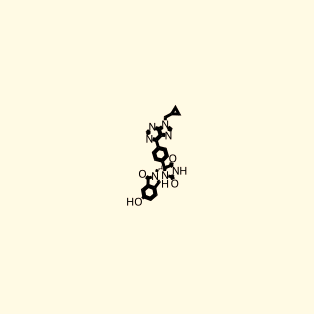 O=C1NC(=O)[C@](CN2Cc3ccc(O)cc3C2=O)(c2ccc(-c3ncnc4c3ncn4CC3CC3)cc2)N1